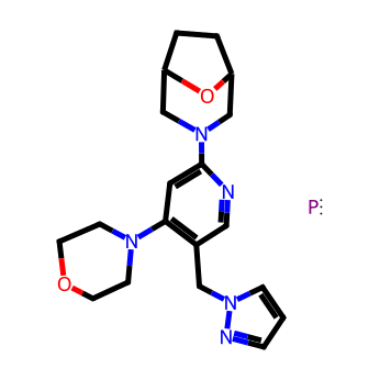 [P].c1cnn(Cc2cnc(N3CC4CCC(C3)O4)cc2N2CCOCC2)c1